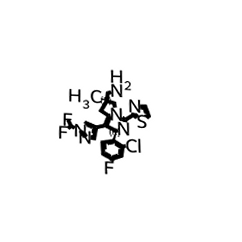 C[C@@]1(CN)CC2=C(c3cnn(C(F)F)c3)[C@H](c3ccc(F)cc3Cl)N=C(c3nccs3)N2C1